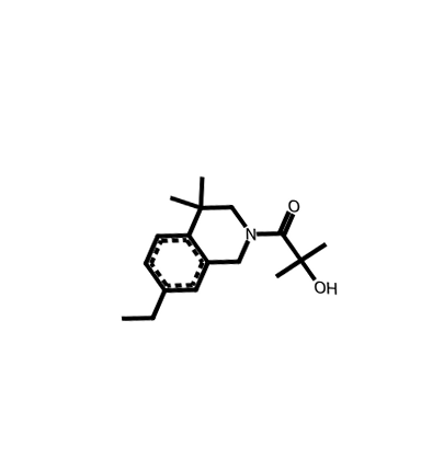 CCc1ccc2c(c1)CN(C(=O)C(C)(C)O)CC2(C)C